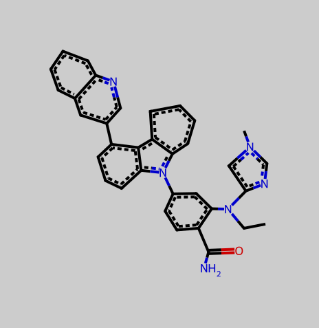 CCN(c1cn(C)cn1)c1cc(-n2c3ccccc3c3c(-c4cnc5ccccc5c4)cccc32)ccc1C(N)=O